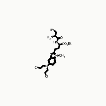 CCOC(=O)C(CCc1nc2cc(N(CCCl)CCCl)ccc2n1C)NC(=O)C(N)CC(C)C